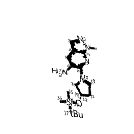 Cn1ncc2cc(N)c(N3CC[C@H](O[Si](C)(C)C(C)(C)C)C3)nc21